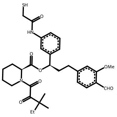 CCC(C)(C)C(=O)C(=O)N1CCCC[C@H]1C(=O)O[C@H](CCc1ccc(C=O)c(OC)c1)c1cccc(NC(=O)CS)c1